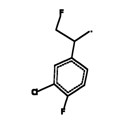 [CH2]C(CF)c1ccc(F)c(Cl)c1